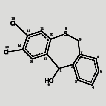 OC1c2ccccc2CSc2cc(Cl)c(Cl)cc21